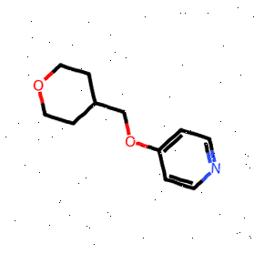 c1cc(OCC2CCOCC2)ccn1